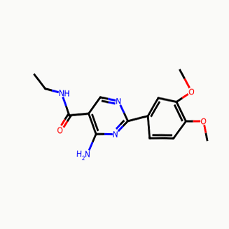 CCNC(=O)c1cnc(-c2ccc(OC)c(OC)c2)nc1N